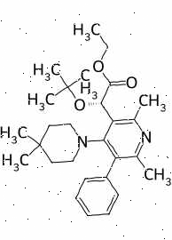 CCOC(=O)[C@@H](OC(C)(C)C)c1c(C)nc(C)c(-c2ccccc2)c1N1CCC(C)(C)CC1